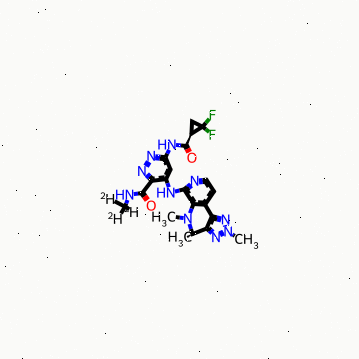 [2H]C([2H])([2H])NC(=O)c1nnc(NC(=O)[C@H]2CC2(F)F)cc1Nc1nccc2c1N(C)[C@@H](C)c1nn(C)nc1-2